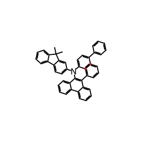 CC1(C)c2ccccc2-c2ccc(N(c3ccc(-c4ccccc4)cc3)c3c(-c4ccccc4)c4ccccc4c4ccccc34)cc21